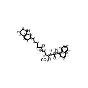 O=C(CCCCc1ccc2c(n1)NCCC2)NCCC(NC(=O)Nc1cccc2ccccc12)C(=O)O